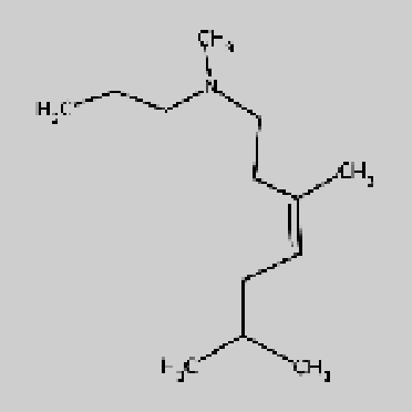 CCCN(C)CC/C(C)=C\CC(C)C